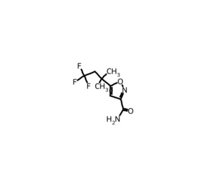 CC(C)(CC(F)(F)F)c1cc(C(N)=O)no1